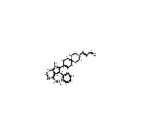 Nc1ncnc2[nH]c(C3=CCC4(CC3)CCN(C=CC=O)CC4)c(-c3ncccn3)c12